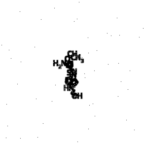 CC(C)Oc1ccc(-c2nnc(-c3cccc4c3CCC[C@@H]4NCCO)s2)cc1N